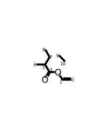 C=COC(=O)C(C)CC.CC